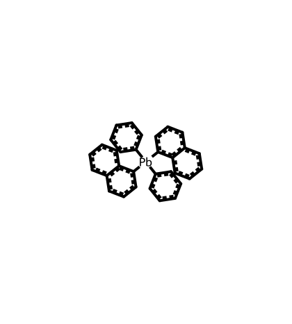 c1cc[c]([Pb]([c]2ccccc2)([c]2cccc3ccccc23)[c]2cccc3ccccc23)cc1